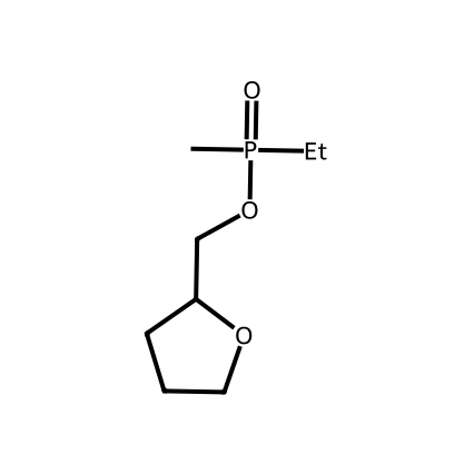 CCP(C)(=O)OCC1CCCO1